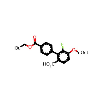 CCCCCCCCOc1ccc(C(=O)O)c(-c2ccc(C(=O)OCC(C)CC)cc2)c1F